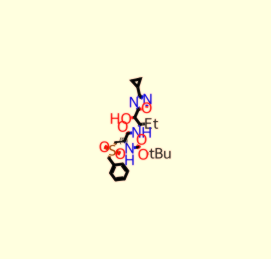 CCC(NC(=O)[C@H](CS(=O)(=O)Cc1ccccc1)NC(=O)OC(C)(C)C)C(O)c1nc(C2CC2)no1